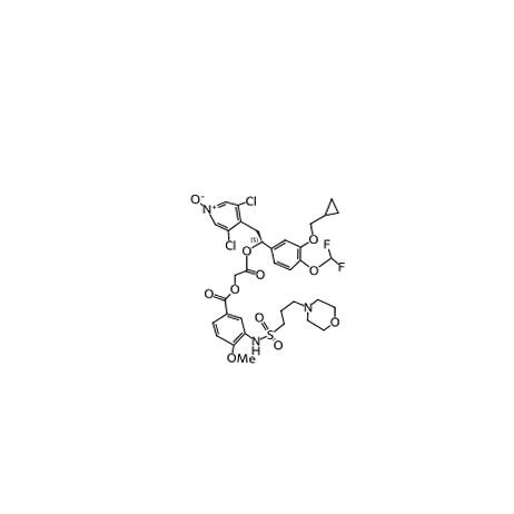 COc1ccc(C(=O)OCC(=O)O[C@@H](Cc2c(Cl)c[n+]([O-])cc2Cl)c2ccc(OC(F)F)c(OCC3CC3)c2)cc1NS(=O)(=O)CCCN1CCOCC1